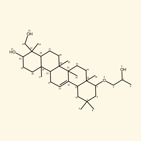 CC(O)COC1CC(C)(C)CC2C3=CCC4C5(C)CCC(O)C(C)(CO)C5CCC4(C)C3(C)CCC12C